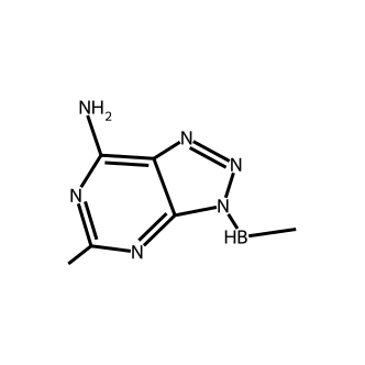 CBn1nnc2c(N)nc(C)nc21